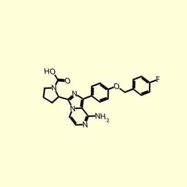 Nc1nccn2c(C3CCCN3C(=O)O)nc(-c3ccc(OCc4ccc(F)cc4)cc3)c12